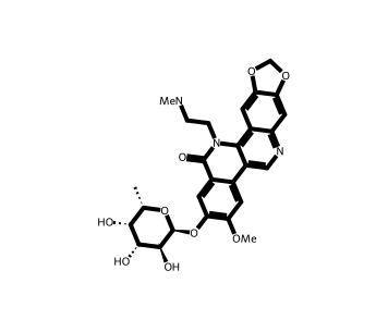 CNCCn1c(=O)c2cc(O[C@@H]3O[C@@H](C)[C@@H](O)[C@@H](O)[C@@H]3O)c(OC)cc2c2cnc3cc4c(cc3c21)OCO4